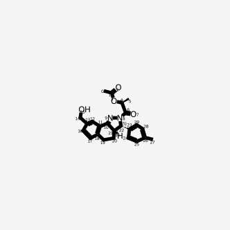 CC(=O)O[C@@H](C)C(=O)N1N=C2c3cc(CO)ccc3CC[C@H]2[C@H]1c1ccc(C)cc1